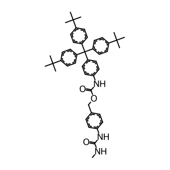 CNC(=O)Nc1ccc(COC(=O)Nc2ccc(C(c3ccc(C(C)(C)C)cc3)(c3ccc(C(C)(C)C)cc3)c3ccc(C(C)(C)C)cc3)cc2)cc1